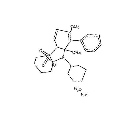 COC1=C(c2ccccc2)C(OC)(P(C2CCCCC2)C2CCCCC2)C(S(=O)(=O)[O-])C=C1.O.[Na+]